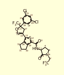 O=C(NC1CCN(CC(F)(F)F)C1=O)c1sc(C2=NOC(c3cc(Cl)cc(Cl)c3)(C(F)(F)F)C2)c2c1CCC2